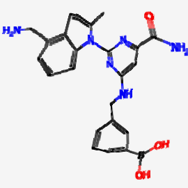 Cc1cc2c(CN)cccc2n1-c1nc(NCc2cccc(B(O)O)c2)cc(C(N)=O)n1